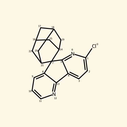 Clc1ccc2c(n1)C1(c3cccnc3-2)C2CC3CC(C2)CC1C3